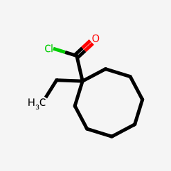 CCC1(C(=O)Cl)CCCCCCC1